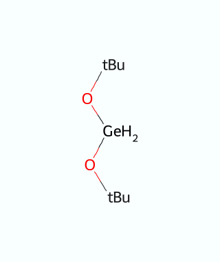 CC(C)(C)[O][GeH2][O]C(C)(C)C